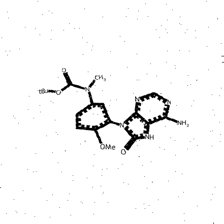 COc1ccc(N(C)C(=O)OC(C)(C)C)cc1-n1c(=O)[nH]c2c(N)ncnc21